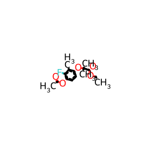 CCOC(=O)C(C)(C)Oc1ccc(OC(C)=O)c(F)c1C